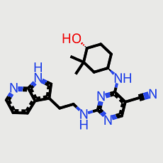 CC1(C)C[C@H](Nc2nc(NCCc3c[nH]c4ncccc34)ncc2C#N)CC[C@H]1O